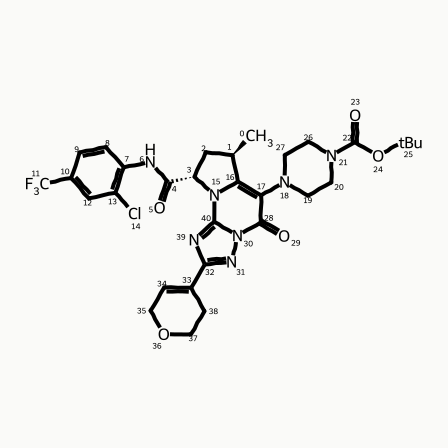 C[C@@H]1C[C@@H](C(=O)Nc2ccc(C(F)(F)F)cc2Cl)n2c1c(N1CCN(C(=O)OC(C)(C)C)CC1)c(=O)n1nc(C3=CCOCC3)nc21